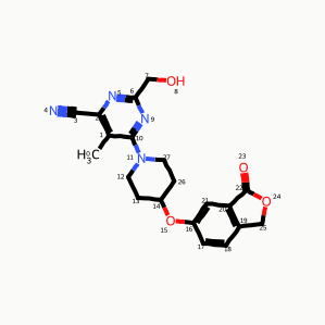 Cc1c(C#N)nc(CO)nc1N1CCC(Oc2ccc3c(c2)C(=O)OC3)CC1